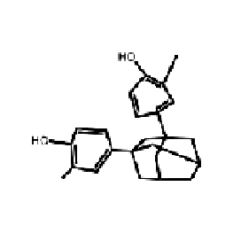 Cc1cc(C23CC4CC(C2)CC(c2ccc(O)c(C)c2)(C4)C3)ccc1O